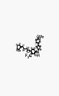 COc1ncc(-c2csc(Nc3ccc(OCCCC4CCCC4)c(C(F)(F)F)c3)n2)cn1